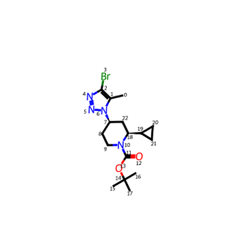 Cc1c(Br)nnn1[C@@H]1CCN(C(=O)OC(C)(C)C)[C@H](C2CC2)C1